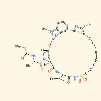 CC[C@@H]1C[C@@]12NC(=O)[C@@H]1C[C@H](CN1C(=O)[C@@H](NC(=O)OC(C)(C)C)C(C)(C)C)Oc1nc3c(cccc3n1C(C)C)-c1nc(C(C)C)c(s1)CCC=CCCCCS(=O)(=O)NC2=O